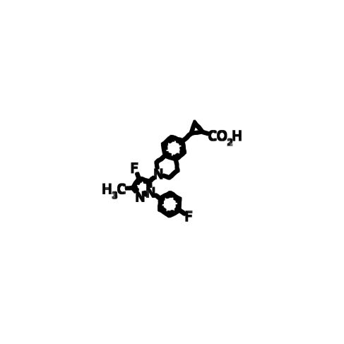 Cc1nn(-c2ccc(F)cc2)c(N2CCc3cc(C4CC4C(=O)O)ccc3C2)c1F